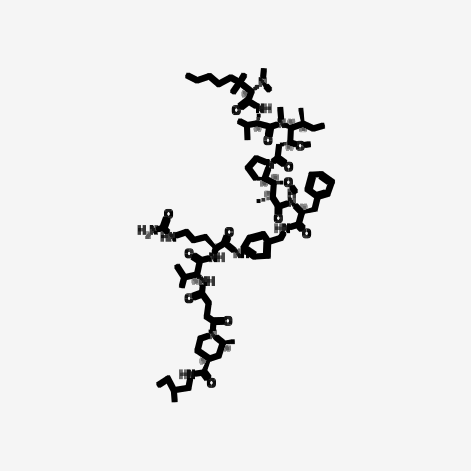 CCCCCC(C)(C)[C@@H](C(=O)N[C@H](C(=O)N(C)[C@@H]([C@@H](C)CC)[C@@H](CC(=O)N1CCC[C@H]1[C@H](OC)[C@@H](C)C(=O)N[C@@H](Cc1ccccc1)C(=O)NCc1ccc(NC(=O)[C@H](CCCNC(N)=O)NC(=O)[C@@H](NC(=O)CCC(=O)N2CC[C@H](C(=O)NCC(C)CC)C[C@@H]2C)C(C)C)cc1)OC)C(C)C)N(C)C